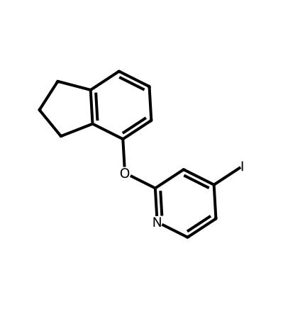 Ic1ccnc(Oc2cccc3c2CCC3)c1